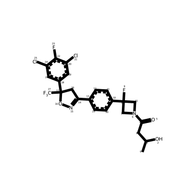 CC(O)CC(=O)N1CC(F)(c2ccc(C3=NOC(c4cc(Cl)c(F)c(Cl)c4)(C(F)(F)F)C3)cc2)C1